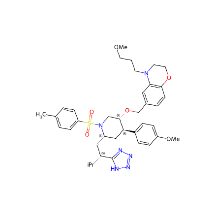 COCCCN1CCOc2ccc(CO[C@H]3CN(S(=O)(=O)c4ccc(C)cc4)[C@@H](C[C@H](c4nnn[nH]4)C(C)C)C[C@@H]3c3ccc(OC)cc3)cc21